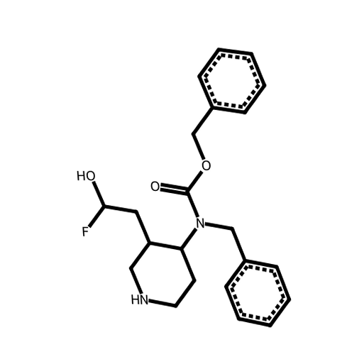 O=C(OCc1ccccc1)N(Cc1ccccc1)C1CCNCC1CC(O)F